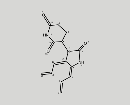 C=C/C=c1/[nH]c(=O)n(C2CCC(=O)NC2=O)/c1=C/C=C